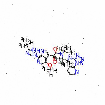 [2H]C([2H])([2H])Oc1cnc(-n2cnc(C([2H])([2H])[2H])n2)c2[nH]cc(C(=O)C(=O)N3C([2H])([2H])C([2H])([2H])N(c4nnnn4-c4ccccn4)C([2H])([2H])C3([2H])[2H])c12